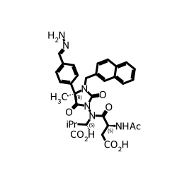 CC(=O)N[C@@H](CC(=O)O)C(=O)N([C@H](C(=O)O)C(C)C)N1C(=O)N(Cc2ccc3ccccc3c2)[C@](C)(c2ccc(C=NN)cc2)C1=O